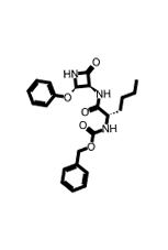 CCCC[C@H](NC(=O)OCc1ccccc1)C(=O)N[C@@H]1C(=O)N[C@H]1Oc1ccccc1